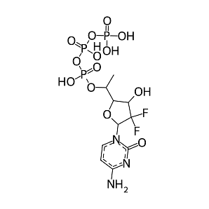 CC(OP(=O)(O)OP(=O)(O)OP(=O)(O)O)C1OC(n2ccc(N)nc2=O)C(F)(F)C1O